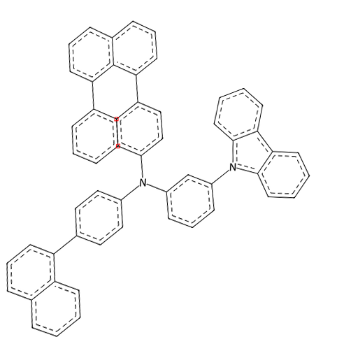 c1ccc(-c2cccc3cccc(-c4ccc(N(c5ccc(-c6cccc7ccccc67)cc5)c5cccc(-n6c7ccccc7c7ccccc76)c5)cc4)c23)cc1